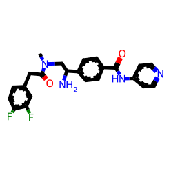 CN(CC(N)c1ccc(C(=O)Nc2ccncc2)cc1)C(=O)Cc1ccc(F)c(F)c1